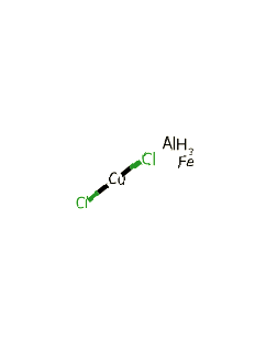 [AlH3].[Cl][Cu][Cl].[Fe]